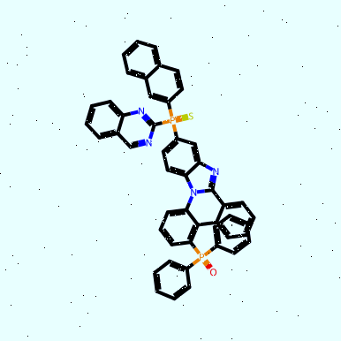 O=P(c1ccccc1)(c1ccccc1)c1cccc2c1c1ccccc1c1nc3cc(P(=S)(c4ccc5ccccc5c4)c4ncc5ccccc5n4)ccc3n21